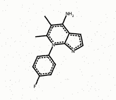 Cc1c(N)c2ccnc-2n(-c2ccc(F)cc2)c1C